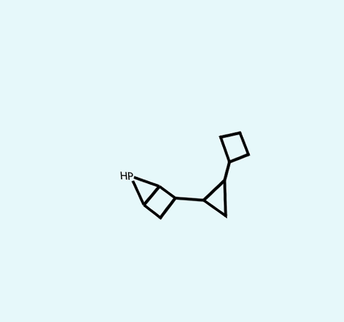 C1CC(C2CC2C2CC3PC32)C1